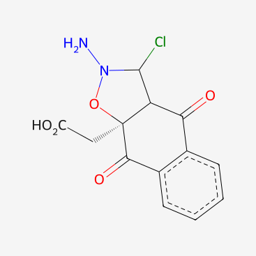 NN1O[C@]2(CC(=O)O)C(=O)c3ccccc3C(=O)C2C1Cl